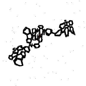 CC1(C)c2ccccc2-c2ccc(N(c3ccc(-c4ccc5c(c4)C4(c6ccccc6-5)c5ccccc5-c5sc6ccccc6c54)cc3)c3cccc(-c4ccc(N(c5ccc(-c6ccc(-c7ccc8c(c7)C7(c9ccccc9-8)c8ccccc8-c8sc9ccccc9c87)cc6)cc5)c5ccccc5-c5ccccc5)cc4)c3)cc21